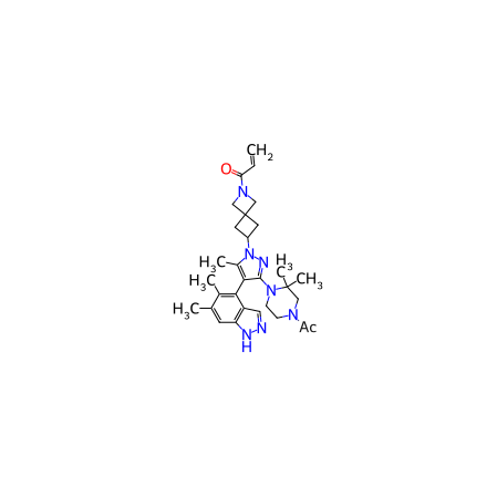 C=CC(=O)N1CC2(CC(n3nc(N4CCN(C(C)=O)CC4(C)C)c(-c4c(C)c(C)cc5[nH]ncc45)c3C)C2)C1